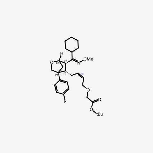 CON=C(C1CCCCC1)[C@@H]1[C@@H]2C[C@@](c3ccc(F)cc3)(CO2)[C@H]1C/C=C\COCC(=O)OC(C)(C)C